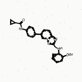 COc1ccccc1Nc1nc2ccc(-c3ccc(NC(=O)C4CC4)cc3)cn2n1